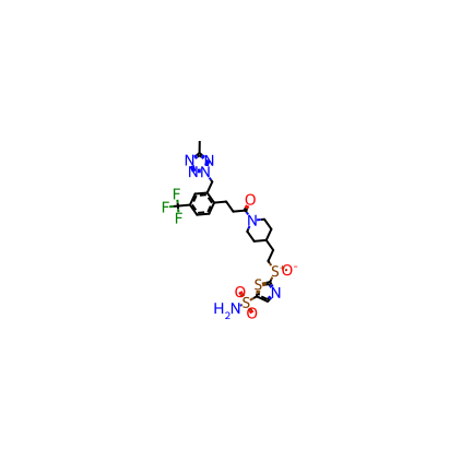 Cc1nnn(Cc2cc(C(F)(F)F)ccc2CCC(=O)N2CCC(CC[S+]([O-])c3ncc(S(N)(=O)=O)s3)CC2)n1